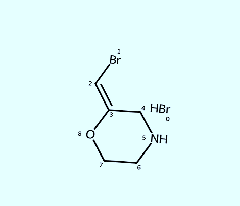 Br.Br/C=C1\CNCCO1